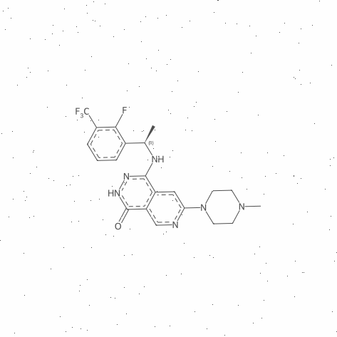 C[C@@H](Nc1n[nH]c(=O)c2cnc(N3CCN(C)CC3)cc12)c1cccc(C(F)(F)F)c1F